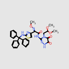 CO/N=C(/C(=O)Nc1n[nH]c(=O)c(=O)n1CC(OC)OC)c1csc(NC(c2ccccc2)(c2ccccc2)c2ccccc2)n1